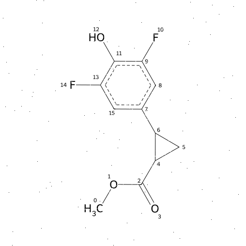 COC(=O)C1CC1c1cc(F)c(O)c(F)c1